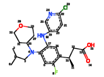 CC(C)CN(c1cc(F)c([C@H](C)CC(=O)O)cc1Nc1ccc(Cl)nc1)C1CCOCC1